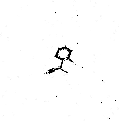 N#C[C@H](O)c1ccccc1F